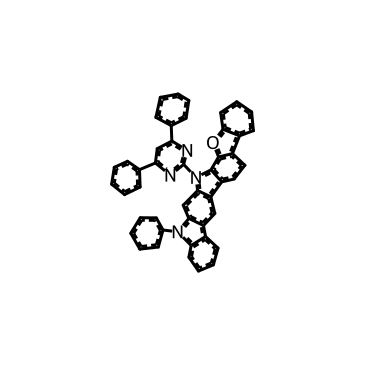 c1ccc(-c2cc(-c3ccccc3)nc(-n3c4cc5c(cc4c4ccc6c7ccccc7oc6c43)c3ccccc3n5-c3ccccc3)n2)cc1